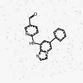 O=Cc1ccc(Nc2cc(-c3ccccc3)cn3ccnc23)nc1